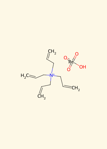 C=CC[N+](CC=C)(CC=C)CC=C.[O]=[Re](=[O])(=[O])[OH]